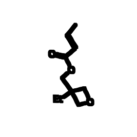 CC=CC(=O)OCC1(CC)COC1